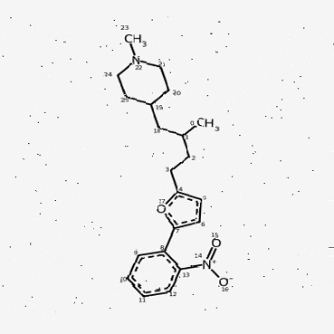 CC(CCc1ccc(-c2ccccc2[N+](=O)[O-])o1)CC1CCN(C)CC1